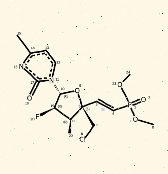 COP(=O)(/C=C/[C@@]1(CCl)O[C@@H](n2ccc(C)nc2=O)[C@H](F)[C@@H]1C)OC